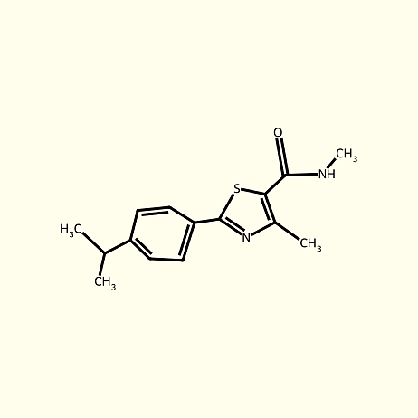 CNC(=O)c1sc(-c2ccc(C(C)C)cc2)nc1C